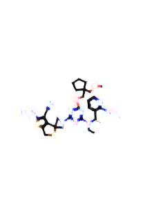 CCN(c1nc(OCC2(COC)CCCC2)nc(N2CC3(C2)SCc2sc(N)c(C#N)c23)n1)[C@H](C)c1cccnc1N